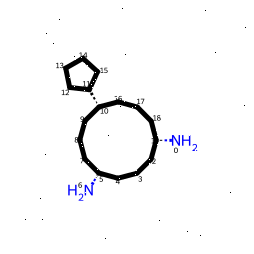 N[C@@H]1CCC[C@H](N)CCC[C@H](C2CCCC2)CCC1